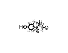 CCC12CCC(=O)C[C@H]1CCc1cc(O)ccc12